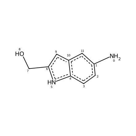 Nc1ccc2[nH]c(CO)cc2c1